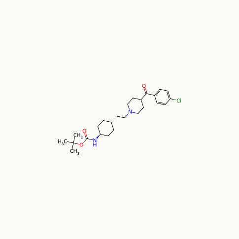 CC(C)(C)OC(=O)N[C@H]1CC[C@H](CCN2CCC(C(=O)c3ccc(Cl)cc3)CC2)CC1